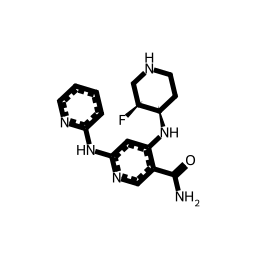 NC(=O)c1cnc(Nc2ccccn2)cc1N[C@@H]1CCNC[C@@H]1F